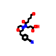 N#Cc1ccc(CC2CN(N(CCC(=O)O)C(=O)CCCC=O)CCO2)cc1